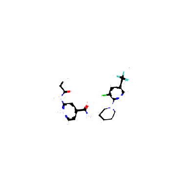 CCC(=O)Nc1cc(C(=O)N[C@H]2CCCN(c3ncc(C(F)(F)F)cc3Cl)C2)ccn1